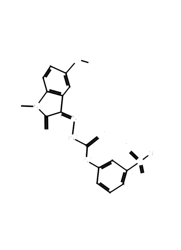 CN1C(=O)C(=NNC(=S)Nc2cccc(S(N)(=O)=O)c2)c2cc(OC(F)(F)F)ccc21